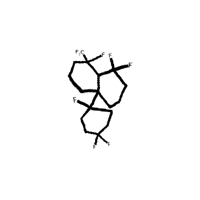 FC1(F)CCC(F)(C23CCCC(F)(F)C2C(F)(C(F)(F)F)CCC3)CC1